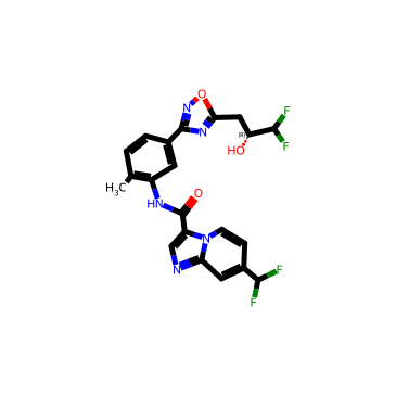 Cc1ccc(-c2noc(C[C@@H](O)C(F)F)n2)cc1NC(=O)c1cnc2cc(C(F)F)ccn12